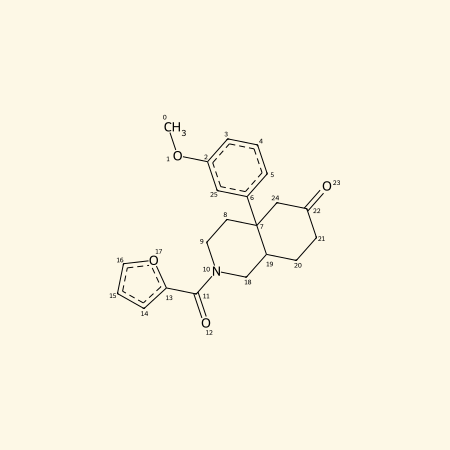 COc1cccc(C23CCN(C(=O)c4ccco4)CC2CCC(=O)C3)c1